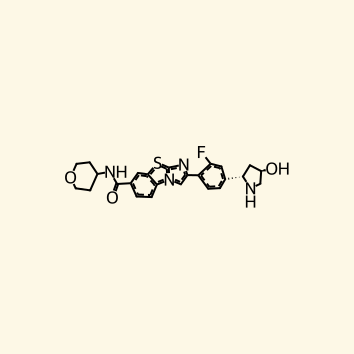 O=C(NC1CCOCC1)c1ccc2c(c1)sc1nc(-c3ccc([C@@H]4C[C@@H](O)CN4)cc3F)cn12